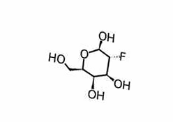 OC[C@H]1O[C@@H](O)[C@H](F)[C@@H](O)[C@H]1O